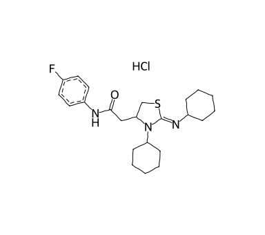 Cl.O=C(CC1CSC(=NC2CCCCC2)N1C1CCCCC1)Nc1ccc(F)cc1